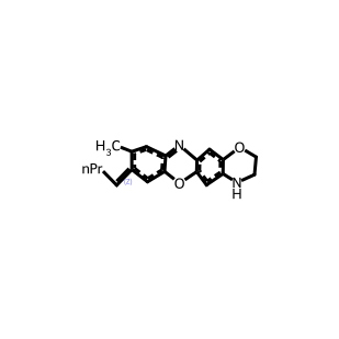 CCC/C=c1/cc2c(cc1C)=Nc1cc3c(cc1O2)NCCO3